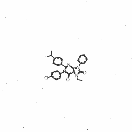 CCn1c(=O)n(-c2ccccc2)c2nc(-c3ccc(C(C)C)cc3)n(-c3ccc(Cl)cc3)c(=O)c21